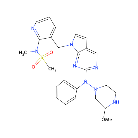 COC1CN(N(c2ccccc2)c2ncc3ccn(Cc4cccnc4N(C)S(C)(=O)=O)c3n2)CCN1